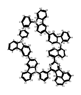 c1ccc(-n2c3ccccc3c3cc(-c4ccc5c(c4)c4ccccc4n5-c4cccc(-c5nc(-c6cccc7c(-n8c9ccccc9c9cc(-c%10ccc%11c(c%10)c%10ccccc%10n%11-c%10ccccc%10)ccc98)cccc67)nc6c5-c5cccc7cccc-6c57)c4)ccc32)cc1